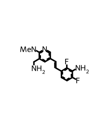 CNc1ncc(C=Cc2ccc(F)c(N)c2F)cc1CN